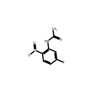 CC(=O)Nc1cc(F)[c]cc1[N+](=O)[O-]